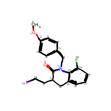 COc1ccc(CN2C(=O)C(CCI)Cc3cccc(F)c32)cc1